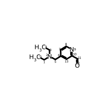 CCN(CC)Cc1ccnc(C=O)c1